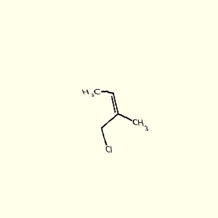 CC=C(C)CCl